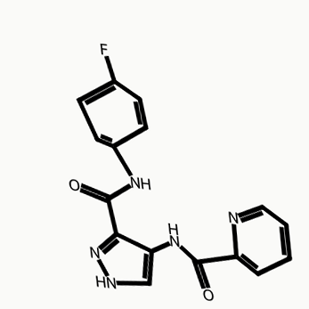 O=C(Nc1c[nH]nc1C(=O)Nc1ccc(F)cc1)c1ccccn1